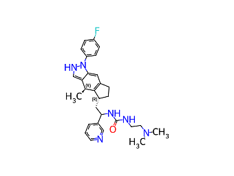 C[C@H]1C2=CNN(c3ccc(F)cc3)C2=CC2=C1[C@@H](CC(NC(=O)NCCN(C)C)c1cccnc1)CC2